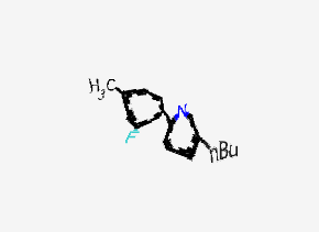 CCCCc1ccc(-c2ccc(C)cc2F)nc1